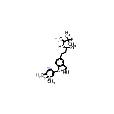 C=C/C=C\C(=C/N(C)C)Nc1ccc(CCC(NC(=C)C(C)(C)F)C(C)C)cc1C=N